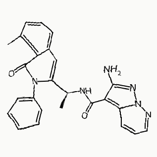 Cc1cccc2cc([C@H](C)NC(=O)c3c(N)nn4ncccc34)n(-c3ccccc3)c(=O)c12